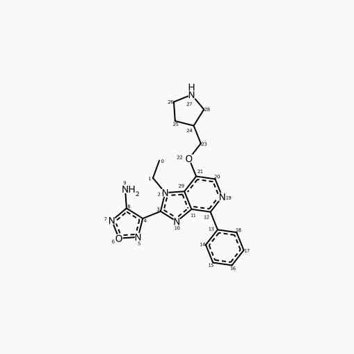 CCn1c(-c2nonc2N)nc2c(-c3ccccc3)ncc(OCC3CCNC3)c21